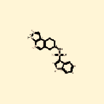 O=S(=O)(NC1CCc2c(cnc3[nH]ncc23)C1)c1csc2ccccc12